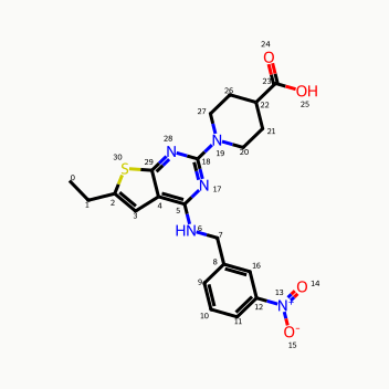 CCc1cc2c(NCc3cccc([N+](=O)[O-])c3)nc(N3CCC(C(=O)O)CC3)nc2s1